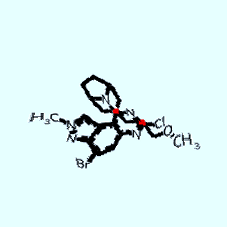 COCCCN1CC2CCC(C1)N2c1nc(Cl)nc2cc(Br)c3nn(C)cc3c12